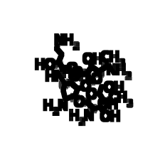 C[C@H](O)C(CO)O[C@H](O[C@@H]1C(N)C[C@@H](NC(=O)[C@@H](O)CCN)[C@@H](O)C1O[C@@H]1O[C@H]([C@@H](C)N)C(O)[C@@H]1O)[C@@H](N)CO